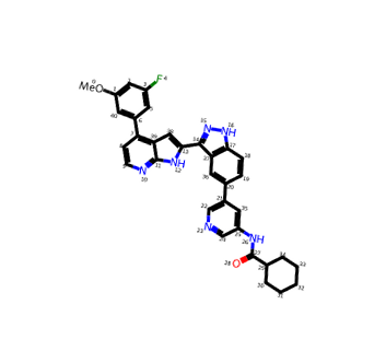 COc1cc(F)cc(-c2ccnc3[nH]c(-c4n[nH]c5ccc(-c6cncc(NC(=O)C7CCCCC7)c6)cc45)cc23)c1